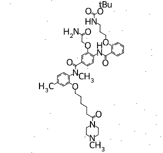 Cc1ccc(N(C)C(=O)c2ccc(NC(=O)c3ccccc3OCCCNC(=O)OC(C)(C)C)c(OCC(N)=O)c2)c(OCCCCCC(=O)N2CCN(C)CC2)c1